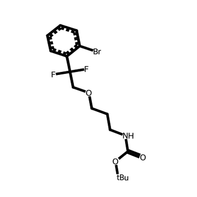 CC(C)(C)OC(=O)NCCCOCC(F)(F)c1ccccc1Br